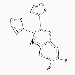 Fc1cc2nc(-c3cccs3)c(-c3cccs3)nc2cc1F